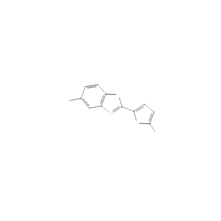 Nc1ccc2[nH]c(-c3ccc(Cl)s3)nc2c1